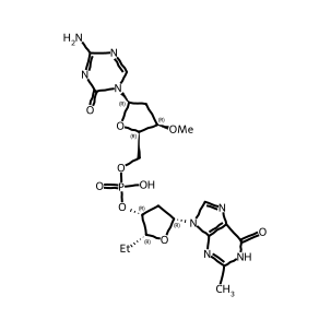 CC[C@H]1O[C@@H](n2cnc3c(=O)[nH]c(C)nc32)C[C@H]1OP(=O)(O)OC[C@H]1O[C@@H](n2cnc(N)nc2=O)C[C@H]1OC